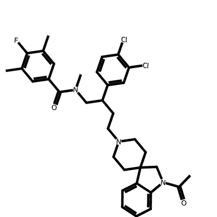 CC(=O)N1CC2(CCN(CCC(CN(C)C(=O)c3cc(C)c(F)c(C)c3)c3ccc(Cl)c(Cl)c3)CC2)c2ccccc21